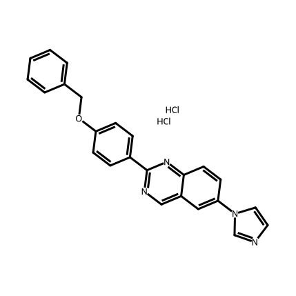 Cl.Cl.c1ccc(COc2ccc(-c3ncc4cc(-n5ccnc5)ccc4n3)cc2)cc1